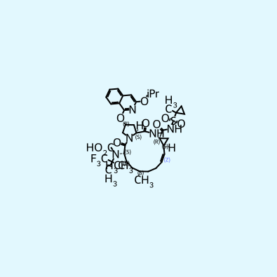 CC(C)Oc1cc2ccccc2c(O[C@@H]2C[C@H]3C(=O)N[C@]4(C(=O)NS(=O)(=O)C5(C)CC5)C[C@H]4/C=C\CC[C@H](C)C[C@@H](C)[C@H](N(C(=O)O)C(C)(C)C(F)(F)F)C(=O)N3C2)n1